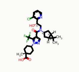 CC1(C)[C@@H]2C[C@H](N(C[C@H](O)c3ncccc3Cl)C(=O)c3cnn([C@H]4CC[C@](C)(C(=O)O)CC4)c3C(F)(F)F)C[C@@H]21